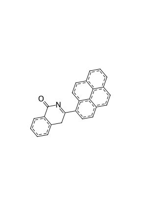 O=C1N=C(c2ccc3ccc4cccc5ccc2c3c45)Cc2ccccc21